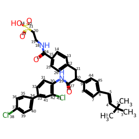 CC(C)(C)/C=C/c1ccc(C(Cc2ccc(C(=O)NCCS(=O)(=O)O)cc2)C(=O)Nc2ccc(-c3ccc(Cl)cc3)cc2Cl)cc1